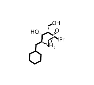 CC(C)S(=O)(=O)[C@@H](CO)[C@@H](O)[C@@H](N)CC1CCCCC1